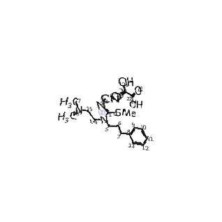 CS/C(=N\C#N)N(CCCc1ccccc1)CCN(C)C.O=C(O)C(=O)O